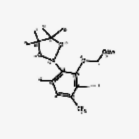 COCOc1c(F)c(C(F)(F)F)cc(C)c1B1OC(C)(C)C(C)(C)O1